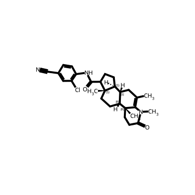 CC1=C2N(C)C(=O)CC[C@]2(C)[C@@H]2CC[C@]3(C)C(C(=O)Nc4ccc(C#N)cc4Cl)CC[C@H]3[C@@H]2C1